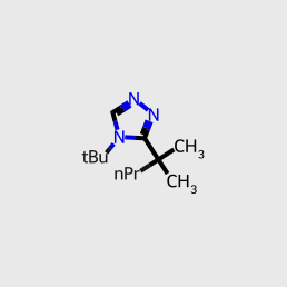 CCCC(C)(C)c1nncn1C(C)(C)C